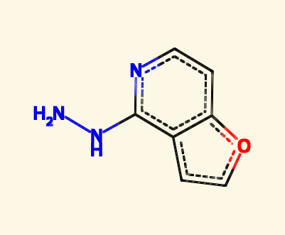 NNc1nccc2occc12